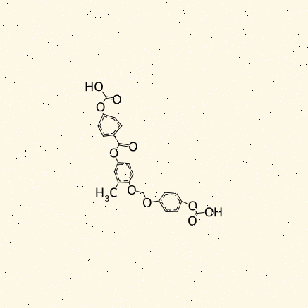 Cc1cc(OC(=O)c2ccc(OC(=O)O)cc2)ccc1OCOc1ccc(OC(=O)O)cc1